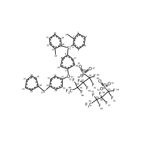 Cc1ccccc1[S+](c1ccc(Oc2ccc([I+]c3ccccc3)cc2)cc1)c1ccccc1C.O=S(=O)([O-])C(F)(F)C(F)(F)C(F)(F)C(F)(F)F.O=S(=O)([O-])C(F)(F)C(F)(F)C(F)(F)C(F)(F)F